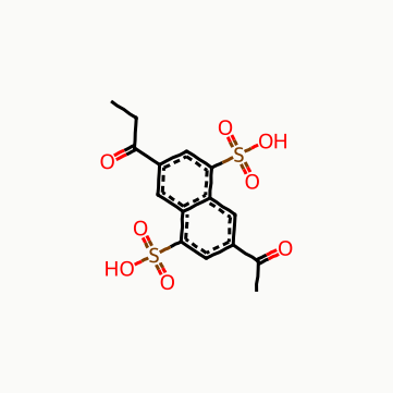 CCC(=O)c1cc(S(=O)(=O)O)c2cc(C(C)=O)cc(S(=O)(=O)O)c2c1